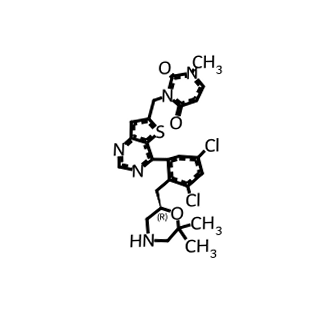 Cn1ccc(=O)n(Cc2cc3ncnc(-c4cc(Cl)cc(Cl)c4C[C@@H]4CNCC(C)(C)O4)c3s2)c1=O